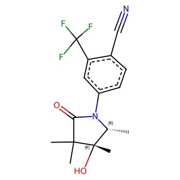 C[C@H]1N(c2ccc(C#N)c(C(F)(F)F)c2)C(=O)C(C)(C)[C@@]1(C)O